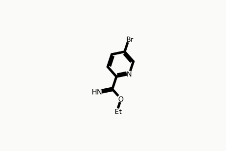 CCOC(=N)c1ccc(Br)cn1